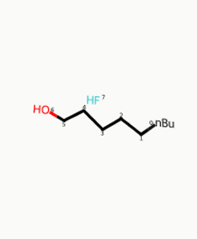 CCCCCCCCCO.F